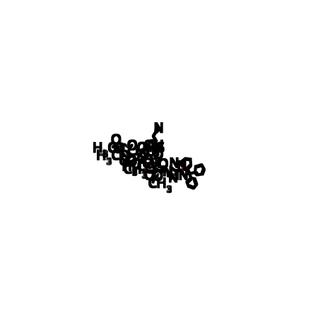 CC(=O)OC[C@H]1O[C@@H](OP(=O)(O)OP(=S)(OCCC#N)OC[C@H]2O[C@@H](n3cnc4c(NC(c5ccccc5)(c5ccccc5)c5ccccc5)ncnc43)[C@H](OC(C)=O)[C@@H]2OC(C)=O)[C@@H](OC(C)=O)[C@@H](OC(C)=O)[C@@H]1OC(C)=O